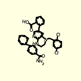 NC(=O)c1ccc(-c2ccccc2)cc1.O=C(O)c1ccccc1-c1cnc2c(c1)N(Cc1cc(Cl)ccc1Cl)CCN2